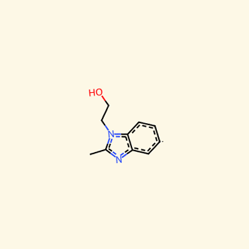 Cc1nc2c[c]ccc2n1CCO